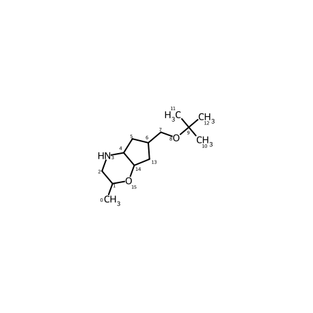 CC1CNC2CC(COC(C)(C)C)CC2O1